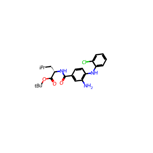 CC(C)C[C@H](NC(=O)c1ccc(Nc2ccccc2Cl)c(N)c1)C(=O)OC(C)(C)C